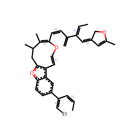 C=C(/C=C\C1=C(/C)C(C)Cc2oc3ccc(C(/C=C\C)=C/CC)cc3c2/C=C/O1)C(/C=C1/C=C(C)OC1)=C/C